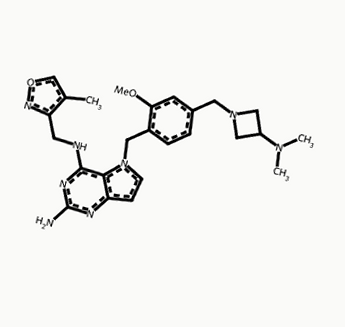 COc1cc(CN2CC(N(C)C)C2)ccc1Cn1ccc2nc(N)nc(NCc3nocc3C)c21